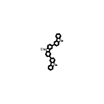 CCn1c2ccc(-c3ccc4c(c3)c3ccccc3n4C)cc2c2cc(-c3ccc4c(c3)c3ccccc3n4C)ccc21